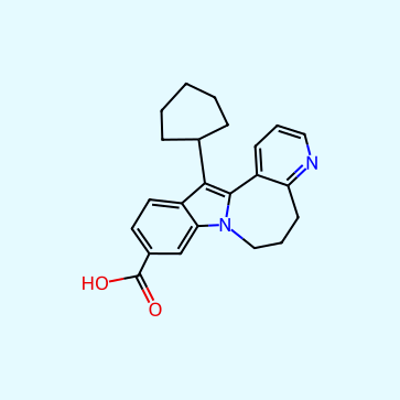 O=C(O)c1ccc2c(C3CCCCC3)c3n(c2c1)CCCc1ncccc1-3